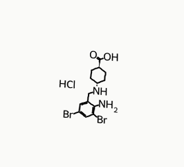 Cl.Nc1c(Br)cc(Br)cc1CN[C@H]1CC[C@H](C(=O)O)CC1